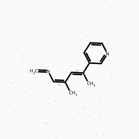 C=N/C=C(C)\C=C(/C)c1cccnc1